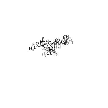 CC(O)CNC(=O)[C@H](CC(F)F)NC(=O)[C@@H]1[C@@H]2[C@H](CN1C(=O)[C@@H](NC(=O)N[C@H](CN(C)S(C)(=O)=O)C(C)(C)C)C(C)(C)C)C2(C)C